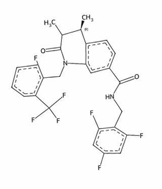 CC1C(=O)N(Cc2c(F)cccc2C(F)(F)F)c2cc(C(=O)NCc3c(F)cc(F)cc3F)ccc2[C@@H]1C